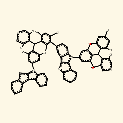 Clc1cc(Cl)c(C(c2c(Cl)cncc2Cl)c2c(Cl)cc(-n3c4ccc(-c5c(Cl)cc(Cl)c(C(c6c(Cl)cncc6Cl)c6c(Cl)cc(-n7c8ccccc8c8c9ccccc9oc87)cc6Cl)c5Cl)cc4c4oc5ccccc5c43)cc2Cl)c(Cl)c1